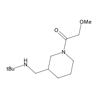 COCC(=O)N1CCCC(CNC(C)(C)C)C1